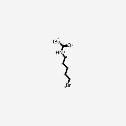 CC(C)(C)C(=O)NCCCCCBr